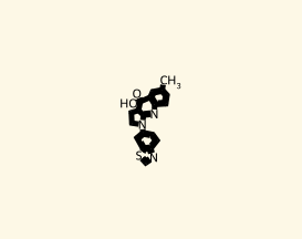 Cc1ccc2c(c1)C(=O)[C@]1(O)CCN(c3ccc4ncsc4c3)C1=N2